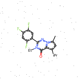 CCn1c(-c2cc(F)c(F)cc2F)nn2c(C)cc(C(C)C)c2c1=O